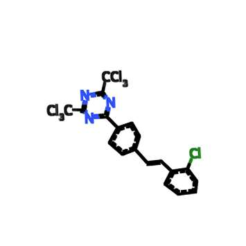 Clc1ccccc1C=Cc1ccc(-c2nc(C(Cl)(Cl)Cl)nc(C(Cl)(Cl)Cl)n2)cc1